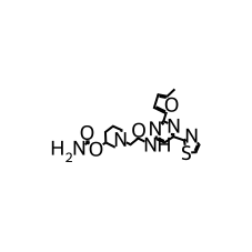 Cc1ccc(-c2nc(NC(=O)CN3CCCC(OC(N)=O)C3)cc(-c3nccs3)n2)o1